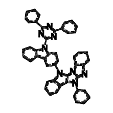 c1ccc(-c2nc(-c3ccccc3)nc(-n3c4ccccc4c4cc(-n5c6ccccc6c6c5n5c7ccccc7nc5n6-c5ccccc5)ccc43)n2)cc1